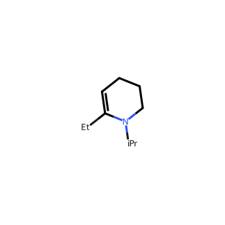 CCC1=CCCCN1C(C)C